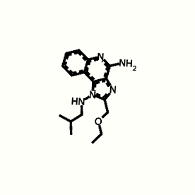 CCOCc1nc2c(N)nc3ccccc3c2n1NCC(C)C